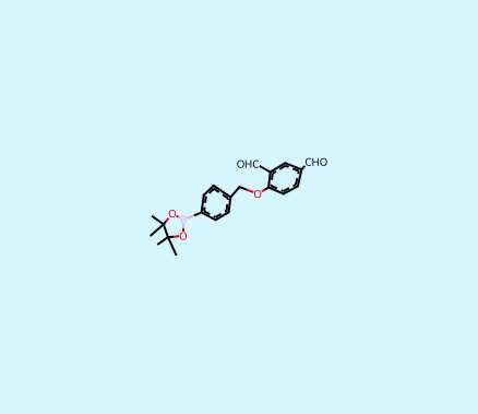 CC1(C)OB(c2ccc(COc3ccc(C=O)cc3C=O)cc2)OC1(C)C